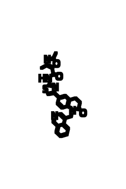 Cc1nc(C)c(C(=O)Nc2nc(-c3ccc4c(c3)CCC(=O)N4Cc3cncc4ccccc34)cs2)o1